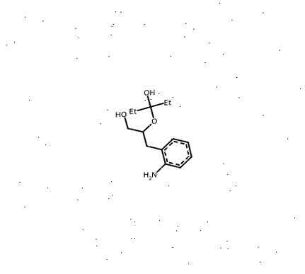 CCC(O)(CC)OC(CO)Cc1ccccc1N